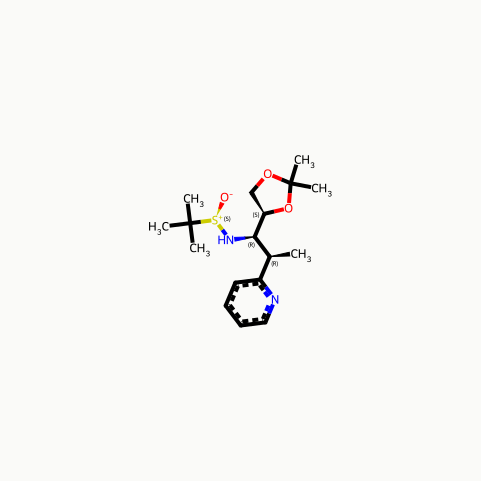 C[C@@H](c1ccccn1)[C@@H](N[S@+]([O-])C(C)(C)C)[C@H]1COC(C)(C)O1